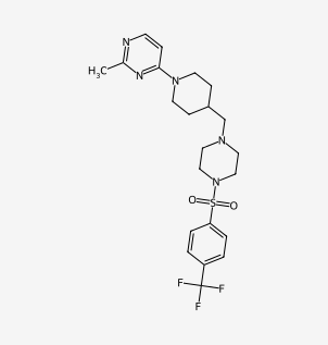 Cc1nccc(N2CCC(CN3CCN(S(=O)(=O)c4ccc(C(F)(F)F)cc4)CC3)CC2)n1